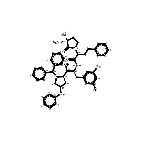 CC[C@@H](C)[C@@]1(NC(C)=O)CCN([C@@H](CCc2ccccc2)C(=O)N[C@@H](Cc2cc(F)cc(F)c2)[C@H](O)[C@H]2C[C@@H](Oc3ccccc3)CN2C(c2ccccc2)c2ccccc2)C1=O